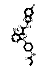 C=CC(=O)N[C@H]1CC[C@@H](n2nc(C(=O)Nc3nc4cc(F)ccc4o3)c3c(N)ncnc32)CC1